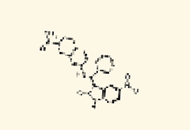 CC(=O)N1CCc2ccc(NC(=C3C(=O)Nc4ccc([N+](=O)[O-])cc43)c3ccccc3)cc2C1